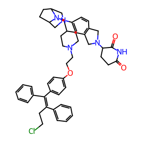 O=C1CCC(N2Cc3ccc(N4CC5CCC(C4)N5CC4CCN(CCOc5ccc(C(=C(CCCl)c6ccccc6)c6ccccc6)cc5)CC4)cc3C2)C(=O)N1